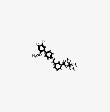 COc1cc(F)c(F)cc1-c1ccc(OCC2CCCN(C(=O)OC(C)(C)C)C2)cc1